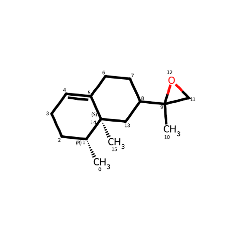 C[C@@H]1CCC=C2CCC(C3(C)CO3)C[C@]21C